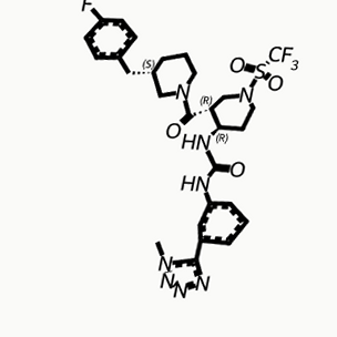 Cn1nnnc1-c1cccc(NC(=O)N[C@@H]2CCN(S(=O)(=O)C(F)(F)F)C[C@H]2C(=O)N2CCC[C@@H](Cc3ccc(F)cc3)C2)c1